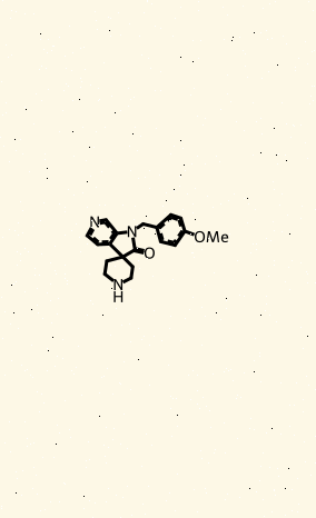 COc1ccc(CN2C(=O)C3(CCNCC3)c3ccncc32)cc1